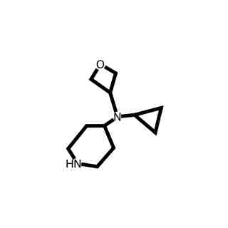 C1CC(N(C2CC2)C2COC2)CCN1